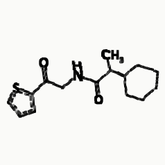 CC(C(=O)NCC(=O)c1cccs1)C1CCCCC1